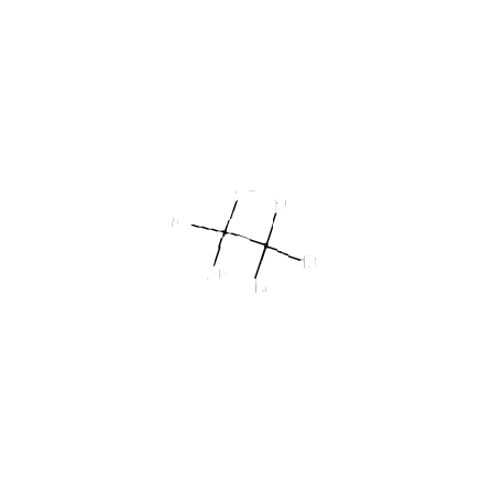 CCC(C)C(CC)(CC)C(O)(O)O